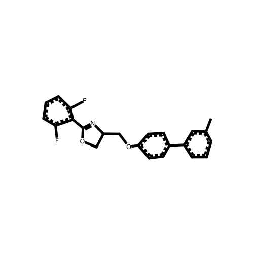 Cc1cccc(-c2ccc(OCC3COC(c4c(F)cccc4F)=N3)cc2)c1